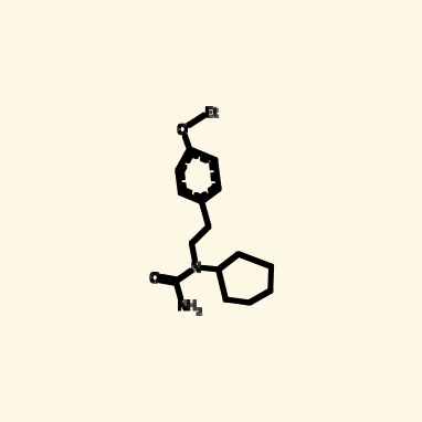 CCOc1ccc(CCN(C(N)=O)C2CCCCC2)cc1